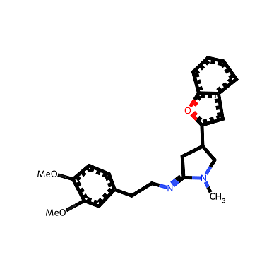 COc1ccc(CCN=C2CC(c3cc4ccccc4o3)CN2C)cc1OC